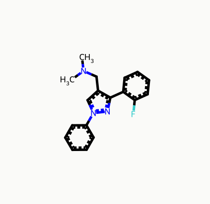 CN(C)Cc1cn(-c2ccccc2)nc1-c1ccccc1F